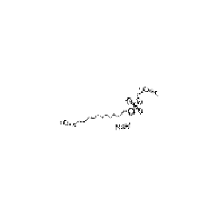 CCCCCCCCCCCCCCCCCCCCCOS(=O)(=O)OCCCCCCCCCCCC.[NaH]